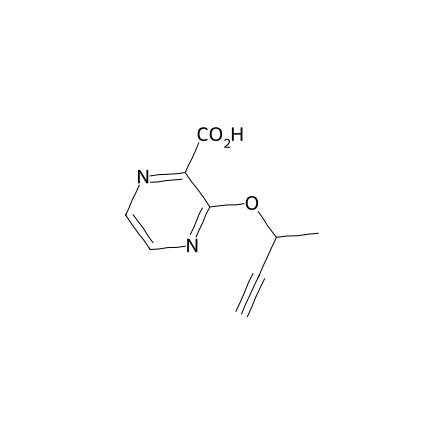 C#CC(C)Oc1nccnc1C(=O)O